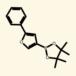 CC1(C)OB(c2coc(-c3ccccc3)c2)OC1(C)C